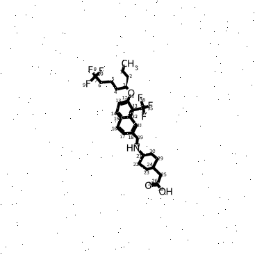 CCC[C@H](CCCC(F)(F)F)Oc1ccc2ccc(CNC3CCC(CC(=O)O)CC3)cc2c1C(F)(F)F